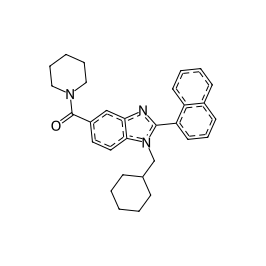 O=C(c1ccc2c(c1)nc(-c1cccc3ccccc13)n2CC1CCCCC1)N1CCCCC1